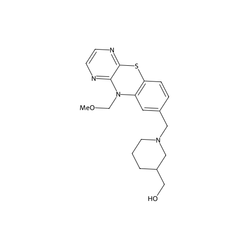 COCN1c2cc(CN3CCCC(CO)C3)ccc2Sc2nccnc21